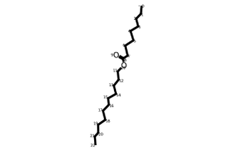 [CH2]CCCCCCCC(=O)OCCCCCCCCCCCC